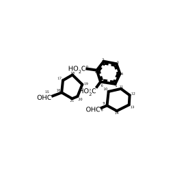 O=C(O)c1ccccc1C(=O)O.O=CC1CCCCC1.O=CC1CCCCC1